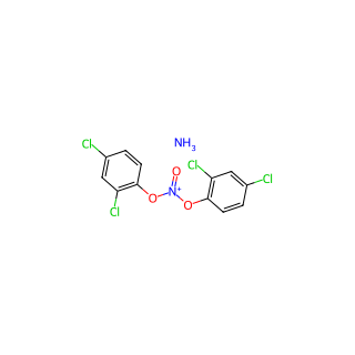 N.O=[N+](Oc1ccc(Cl)cc1Cl)Oc1ccc(Cl)cc1Cl